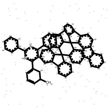 CC1C=CC=C(c2cc(-c3ccc(-c4cccc5c4C4(c6ccccc6C6(c7ccccc7-c7ccccc76)c6ccccc64)c4c-5ccc5c4sc4ccccc45)cc3)nc(-c3ccccc3)n2)C1